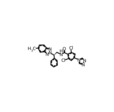 Cc1ccc2nn([C@@H](CNC(=O)c3c(Cl)cc(-n4cnnc4)cc3Cl)c3ccccc3)nc2c1